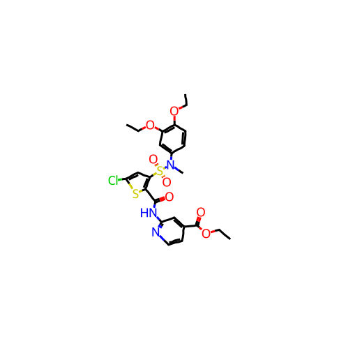 CCOC(=O)c1ccnc(NC(=O)c2sc(Cl)cc2S(=O)(=O)N(C)c2ccc(OCC)c(OCC)c2)c1